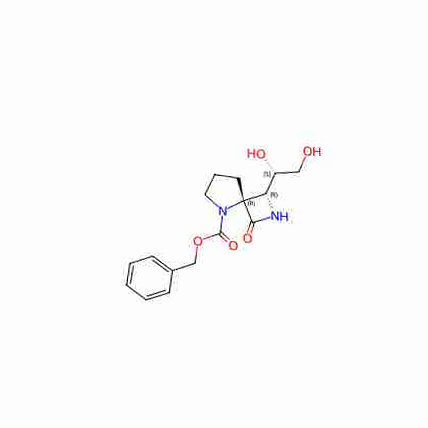 O=C(OCc1ccccc1)N1CCC[C@@]12C(=O)N[C@H]2[C@H](O)CO